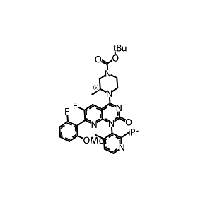 COc1cccc(F)c1-c1nc2c(cc1F)c(N1CCN(C(=O)OC(C)(C)C)C[C@@H]1C)nc(=O)n2-c1c(C)ccnc1C(C)C